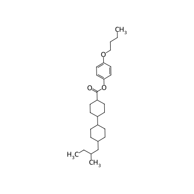 CCCCOc1ccc(OC(=O)C2CCC(C3CCC(CC(C)CC)CC3)CC2)cc1